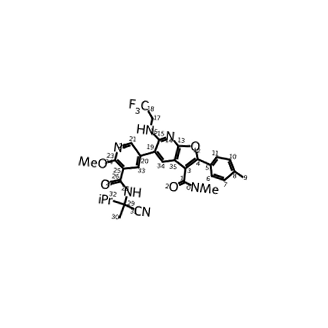 CNC(=O)c1c(-c2ccc(C)cc2)oc2nc(NCC(F)(F)F)c(-c3cnc(OC)c(C(=O)NC(C)(C#N)C(C)C)c3)cc12